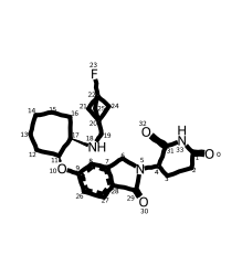 O=C1CCC(N2Cc3cc(O[C@@H]4CCCCC[C@H]4NCC45CC(F)(C4)C5)ccc3C2=O)C(=O)N1